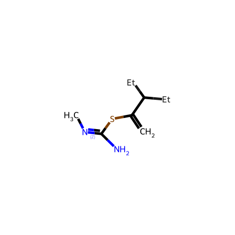 C=C(S/C(N)=N\C)C(CC)CC